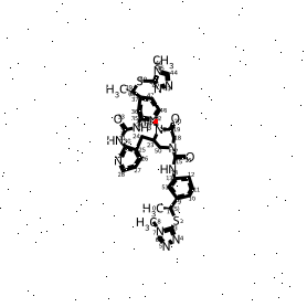 C[C@H](Sc1nncn1C)c1cccc(NC(=O)N2CC(=O)N(C)C(Cc3cccnc3NC(=O)Nc3cc([C@H](C)Sc4nncn4C)ccn3)C2)c1